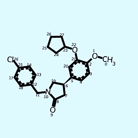 COc1ccc([C@H]2CC(=O)N(Cc3ccc(Cl)cc3)C2)cc1OC1CCCC1